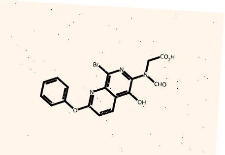 O=CN(CC(=O)O)c1nc(Br)c2nc(Oc3ccccc3)ccc2c1O